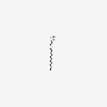 CCCCCCCCCCCC(=O)NCCC[N+](C)(C)CO